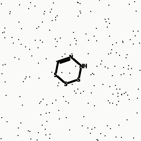 [c]1n[nH]sss1